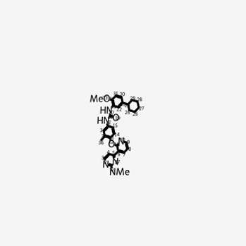 CNc1nccc(-c2cccnc2Oc2ccc(NC(=O)Nc3cc(C4CCCCC4)ccc3OC)cc2C)n1